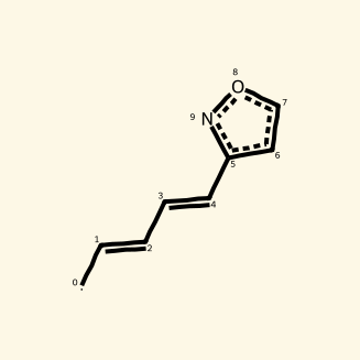 [CH2]/C=C/C=C/c1ccon1